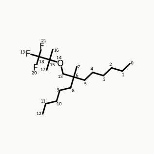 CCCCCCC(C)(CCCCC)COC(C)(C)C(F)(F)F